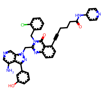 Nc1cncc2c1c(-c1cccc(O)c1)nn2Cc1nc2cccc(C#CCCCC(=O)Nc3ccncc3)c2c(=O)n1Cc1ccccc1Cl